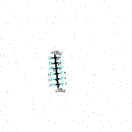 CC(C)(C)C(F)(F)C(F)(F)C(F)(F)C(F)(F)C(F)(F)C(F)(F)C(C)(C)C